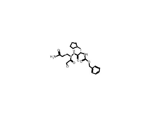 NC(=O)CCN(NC(=O)[C@H](CC1CCCC1)NC(=O)OCc1ccccc1)C(=O)CCl